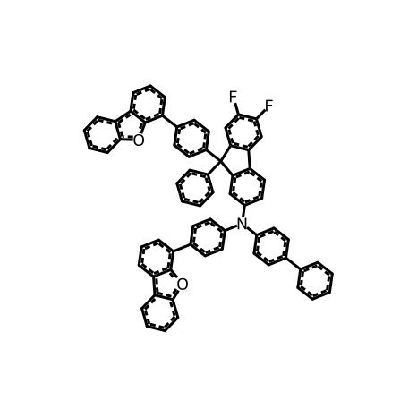 Fc1cc2c(cc1F)C(c1ccccc1)(c1ccc(-c3cccc4c3oc3ccccc34)cc1)c1cc(N(c3ccc(-c4ccccc4)cc3)c3ccc(-c4cccc5c4oc4ccccc45)cc3)ccc1-2